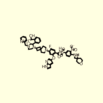 CC(C)c1ccccc1C1CN(Cc2ccccn2)CCN1C1CC2(CCN(c3cc(Oc4cnc5[nH]ccc5c4)c(C(=O)NS(=O)(=O)c4ccc(NCC5(F)CCOCC5)c([N+](=O)[O-])c4)cc3F)CC2)C1